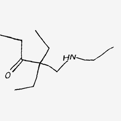 CCNCC(CC)(CC)C(=O)CC